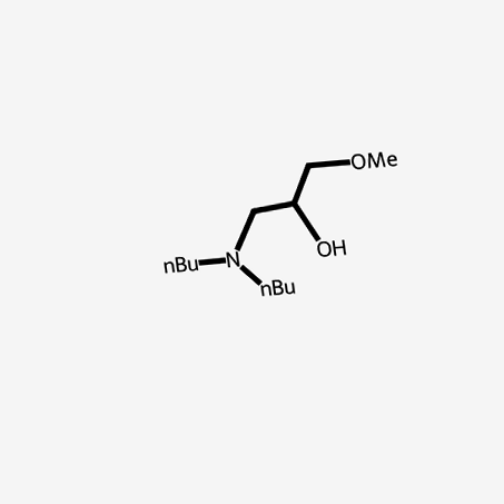 CCCCN(CCCC)CC(O)COC